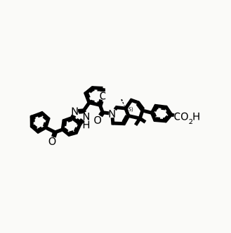 CC1(C)C(c2ccc(C(=O)O)cc2)=CC[C@]2(C)CN(C(=O)c3ccccc3-c3nc4cc(C(=O)c5ccccc5)ccc4[nH]3)CC=C12